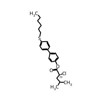 CCCCCCSc1ccc(-c2ccc(OC(=O)[C@@H](Cl)CC(C)C)cc2)cc1